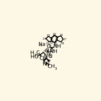 Cn1cc(N(CC(C)(C)O)S(=O)(=O)NC(=O)Nc2c3c(cc4c2CCC4)CCC3)cn1.[Na]